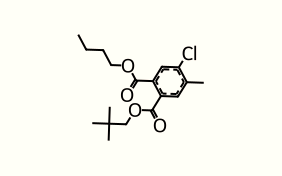 CCCCOC(=O)c1cc(Cl)c(C)cc1C(=O)OCC(C)(C)C